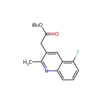 Cc1nc2cccc(F)c2cc1CC(=O)OCC(C)C